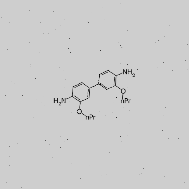 CCCOc1cc(-c2ccc(N)c(OCCC)c2)ccc1N